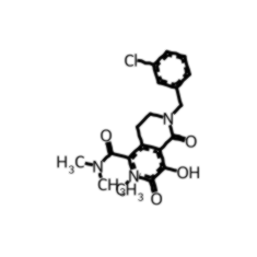 CN(C)C(=O)c1c2c(c(O)c(=O)n1C)C(=O)N(Cc1cccc(Cl)c1)CC2